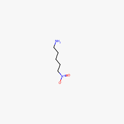 NCCCCC[N+](=O)[O-]